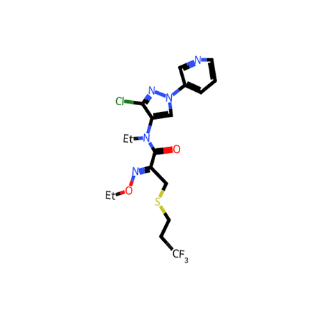 CCON=C(CSCCC(F)(F)F)C(=O)N(CC)c1cn(-c2cccnc2)nc1Cl